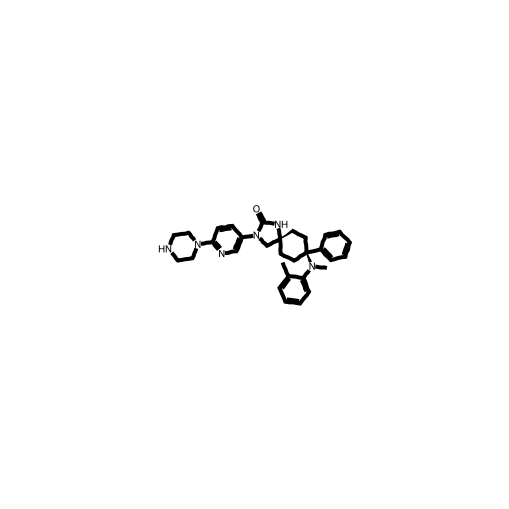 Cc1ccccc1N(C)[C@]1(c2ccccc2)CC[C@@]2(CC1)CN(c1ccc(N3CCNCC3)nc1)C(=O)N2